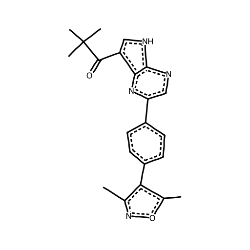 Cc1noc(C)c1-c1ccc(-c2cnc3[nH]cc(C(=O)C(C)(C)C)c3n2)cc1